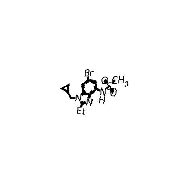 CCc1nc2c(NS(C)(=O)=O)cc(Br)cc2n1CC1CC1